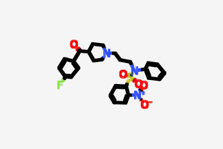 O=C(c1ccc(F)cc1)C1CCN(CCCN(c2ccccc2)S(=O)(=O)c2ccccc2[N+](=O)[O-])CC1